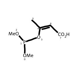 COP(OC)O/C(C)=C\C(=O)O